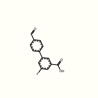 O=Cc1ccc(-c2cc(F)cc(C(=O)O)c2)cc1